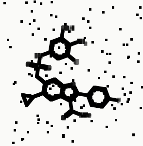 CNC(=O)c1c(-c2ccc(F)cc2)oc2cc(CS(=O)(=O)Nc3cc(Cl)c(N)c(C(=O)O)c3)c(C3CC3)cc12